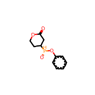 O=C1CC([PH](=O)Oc2ccccc2)CCO1